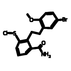 COc1ccc(Br)cc1CCc1c(SCl)cccc1C(N)=O